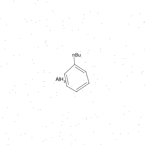 C[CH]CCc1ccccc1.[AlH3]